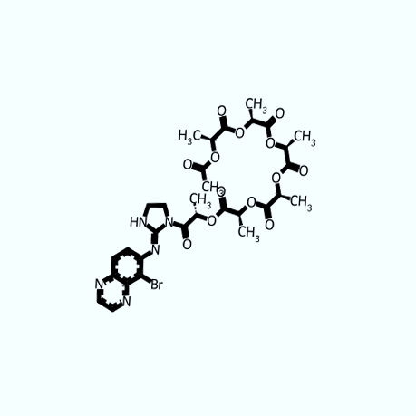 CC(=O)O[C@@H](C)C(=O)O[C@@H](C)C(=O)O[C@@H](C)C(=O)O[C@@H](C)C(=O)O[C@@H](C)C(=O)O[C@@H](C)C(=O)N1CCN/C1=N\c1ccc2nccnc2c1Br